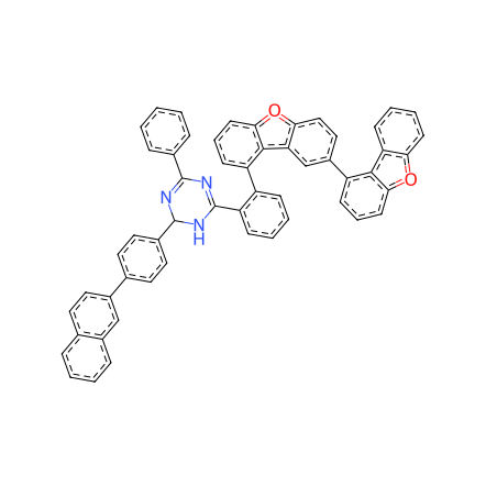 c1ccc(C2=NC(c3ccc(-c4ccc5ccccc5c4)cc3)NC(c3ccccc3-c3cccc4oc5ccc(-c6cccc7oc8ccccc8c67)cc5c34)=N2)cc1